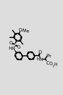 COc1cc(C)c(S(=O)(=O)Nc2cccc(-c3ccc(C(=O)NC(C(=O)O)C(C)C)cc3)c2)c(C)c1C